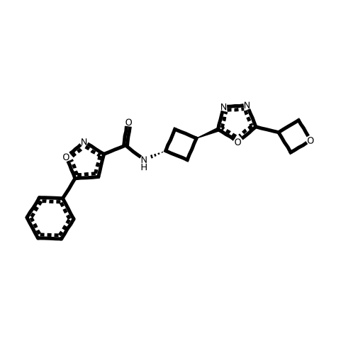 O=C(N[C@H]1C[C@H](c2nnc(C3COC3)o2)C1)c1cc(-c2ccccc2)on1